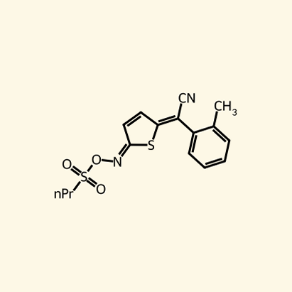 CCCS(=O)(=O)ON=C1C=C/C(=C(\C#N)c2ccccc2C)S1